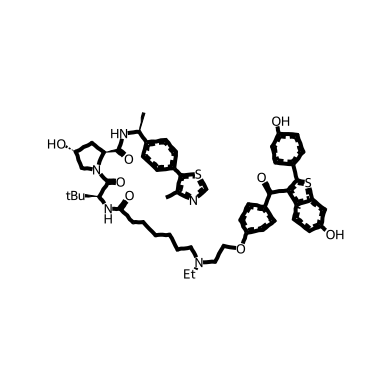 CCN(CCCCCCC(=O)N[C@H](C(=O)N1C[C@H](O)C[C@H]1C(=O)N[C@@H](C)c1ccc(-c2scnc2C)cc1)C(C)(C)C)CCOc1ccc(C(=O)c2c(-c3ccc(O)cc3)sc3cc(O)ccc23)cc1